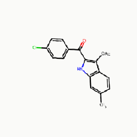 CC(=O)Oc1c(C(=O)c2ccc(Cl)cc2)[nH]c2cc(C(F)(F)F)ccc12